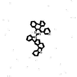 c1cncc(-c2nc(-n3c4ccccc4c4cc5c(ccc6sc7ccccc7c65)cc43)nc3c4ccccc4c4ccccc4c23)c1